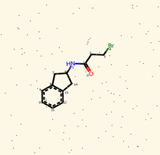 O=C(CCBr)NC1Cc2ccccc2C1